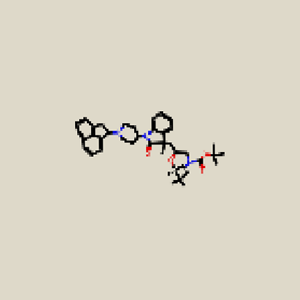 CN(CC(CC1(C)C(=O)N(C2CCN(C3Cc4cccc5cccc3c45)CC2)c2ccccc21)O[Si](C)(C)C(C)(C)C)C(=O)OC(C)(C)C